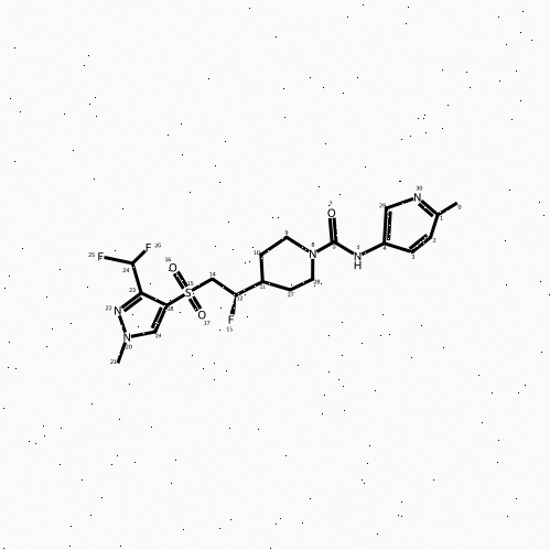 Cc1ccc(NC(=O)N2CCC([C@@H](F)CS(=O)(=O)c3cn(C)nc3C(F)F)CC2)cn1